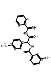 N=C(NC(=O)C(NC(=O)c1cccc(Cl)c1)c1ccc(C=O)cc1)c1ccccc1